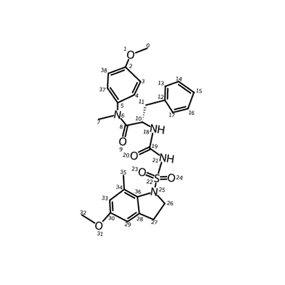 COc1ccc(N(C)C(=O)[C@H](Cc2ccccc2)NC(=O)NS(=O)(=O)N2CCc3cc(OC)cc(C)c32)cc1